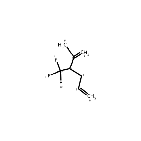 C=CCC(C(=C)C)C(F)(F)F